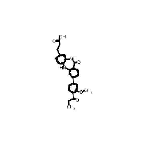 CCC(=O)c1ccc(-c2ccc3c(c2)Nc2ccc(CCC(=O)O)cc2NC3=O)cc1OC